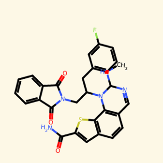 CNC1N=Cc2ccc3cc(C(N)=O)sc3c2N1C(Cc1cccc(F)c1)CN1C(=O)c2ccccc2C1=O